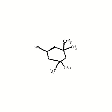 CCCCC1(C)CC(N=O)CC(C)(C)C1